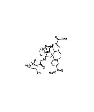 CNC(=O)C1=CC2CCc3cc(C(=O)NC)ccc3C(CC3(NCC(=O)N4C(C#N)C[C@@H]5C[C@@H]54)CCCCC3)(c3nnn[nH]3)C2C=C1